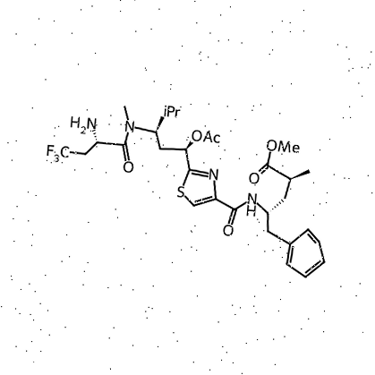 COC(=O)[C@@H](C)C[C@H](Cc1ccccc1)NC(=O)c1csc([C@@H](C[C@H](C(C)C)N(C)C(=O)[C@@H](N)CC(F)(F)F)OC(C)=O)n1